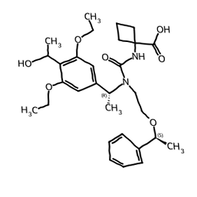 CCOc1cc([C@@H](C)N(CCO[C@@H](C)c2ccccc2)C(=O)NC2(C(=O)O)CCC2)cc(OCC)c1C(C)O